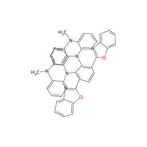 CN1c2ccccc2N(c2c(-c3nc4ccccc4o3)ccc(-c3nc4ccccc4o3)c2N2c3ccccc3N(C)c3ccccc32)c2ccccc21